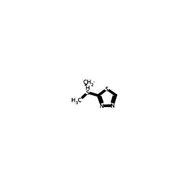 [CH2][SH](C)c1nncs1